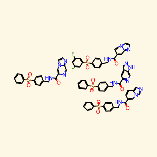 O=C(NCc1ccc(S(=O)(=O)c2cc(F)cc(F)c2)cc1)c1ccn2ccnc2c1.O=C(NCc1ccc(S(=O)(=O)c2ccccc2)cc1)c1cc2cn[nH]c2cn1.O=C(NCc1ccc(S(=O)(=O)c2ccccc2)cc1)c1ccc2cncn2c1.O=C(NCc1ccc(S(=O)(=O)c2ccccc2)cc1)c1cn2ccnc2cn1